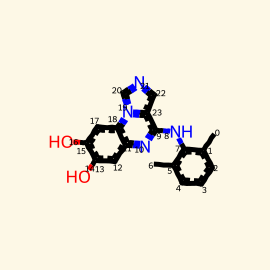 Cc1cccc(C)c1Nc1nc2cc(O)c(O)cc2n2cncc12